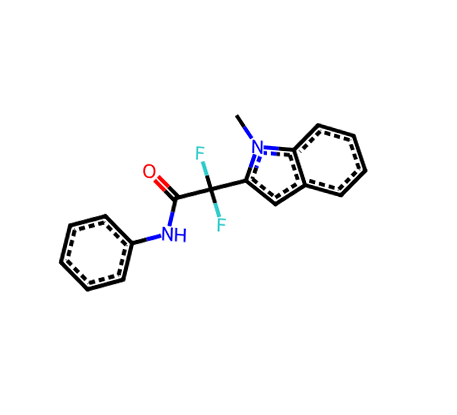 Cn1c(C(F)(F)C(=O)Nc2ccccc2)cc2ccccc21